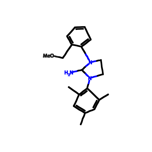 COCc1ccccc1N1CCN(c2c(C)cc(C)cc2C)C1N